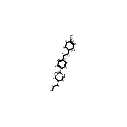 CCC[C@H]1CO[C@H](c2ccc(CCC3CC=C(F)CC3)cc2)OC1